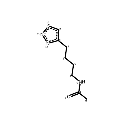 CC(=O)NCCCCc1csnn1